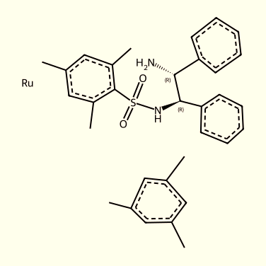 Cc1cc(C)c(S(=O)(=O)N[C@H](c2ccccc2)[C@H](N)c2ccccc2)c(C)c1.Cc1cc(C)cc(C)c1.[Ru]